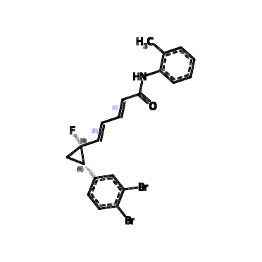 Cc1ccccc1NC(=O)/C=C/C=C/[C@]1(F)C[C@H]1c1ccc(Br)c(Br)c1